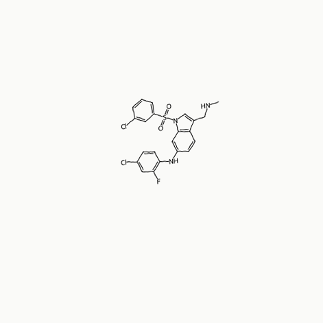 CNCc1cn(S(=O)(=O)c2cccc(Cl)c2)c2cc(Nc3ccc(Cl)cc3F)ccc12